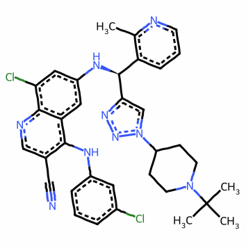 Cc1ncccc1[C@H](Nc1cc(Cl)c2ncc(C#N)c(Nc3cccc(Cl)c3)c2c1)c1cn(C2CCN(C(C)(C)C)CC2)nn1